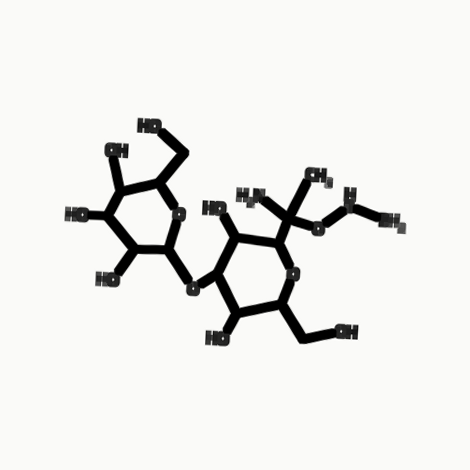 BBOC(C)(N)C1OC(CO)C(O)C(OC2OC(CO)C(O)C(O)C2O)C1O